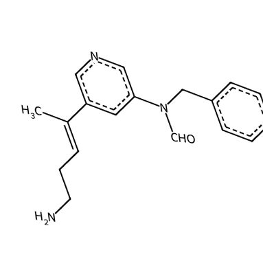 CC(=CCCN)c1cncc(N(C=O)Cc2ccccc2)c1